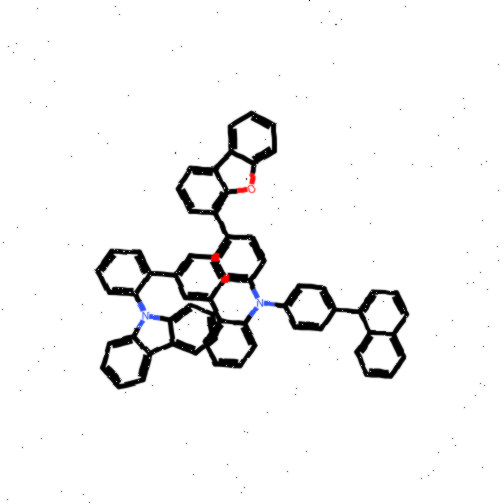 c1cc(-c2ccccc2N(c2ccc(-c3cccc4ccccc34)cc2)c2ccc(-c3cccc4c3oc3ccccc34)cc2)cc(-c2ccccc2-n2c3ccccc3c3ccccc32)c1